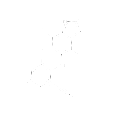 Cc1c([AsH]c2c(I)cncc2C#N)cc(Cl)c2[nH]ccc12